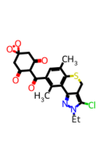 CCn1nc2c(c1Cl)CSc1c(C)cc(C(=O)C3C(=O)CC4(CC3=O)OO4)c(C)c1-2